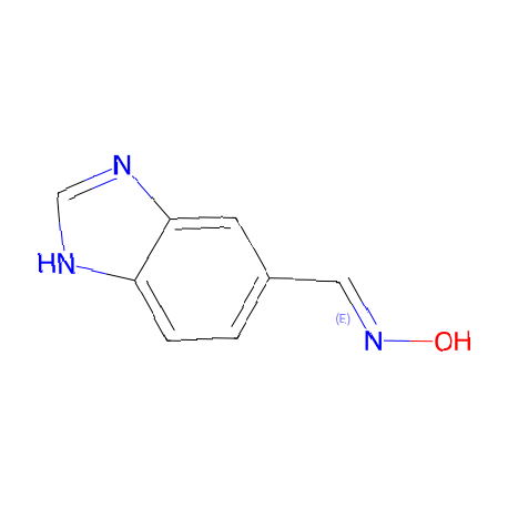 O/N=C/c1ccc2[nH]cnc2c1